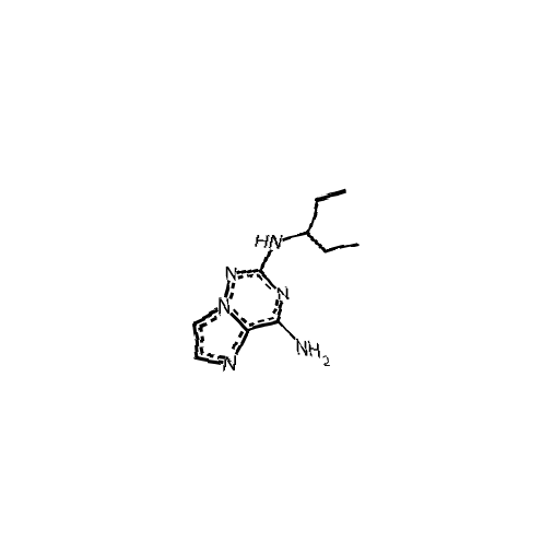 CCC(CC)Nc1nc(N)c2nccn2n1